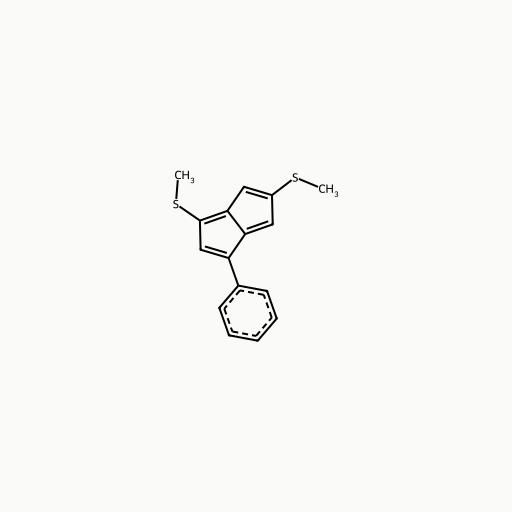 CSC1=CC2=C(SC)C=C(c3ccccc3)C2=C1